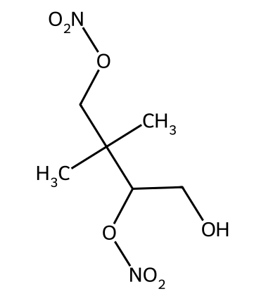 CC(C)(CO[N+](=O)[O-])C(CO)O[N+](=O)[O-]